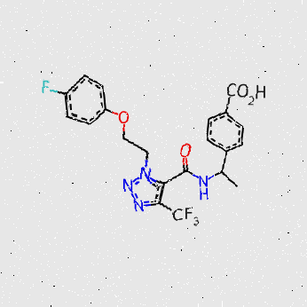 CC(NC(=O)c1c(C(F)(F)F)nnn1CCOc1ccc(F)cc1)c1ccc(C(=O)O)cc1